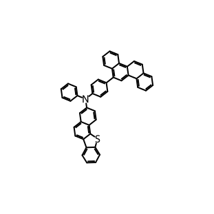 c1ccc(N(c2ccc(-c3cc4c5ccccc5ccc4c4ccccc34)cc2)c2ccc3c(ccc4c5ccccc5sc34)c2)cc1